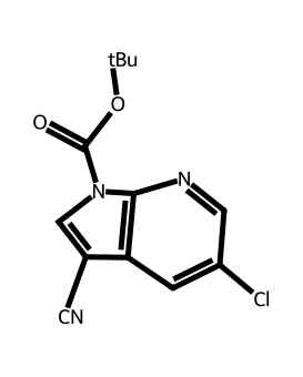 CC(C)(C)OC(=O)n1cc(C#N)c2cc(Cl)cnc21